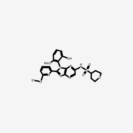 CCOC1=NC(c2nc3ncc(NS(=O)(=O)C4CCOCC4)nc3n2-c2c(O)cccc2OC)=C=C=C1